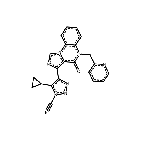 N#Cn1nnc(-c2ncn3c2c(=O)n(Cc2ccccn2)c2ccccc23)c1C1CC1